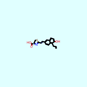 C=CCc1c(O)ccc2cc(/C=C/C3=N[C@@H](C(=O)O)CS3)ccc12